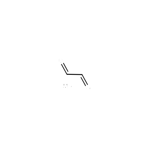 O=CC=O.[Mo]